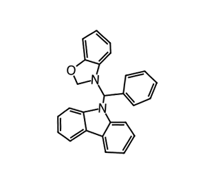 c1ccc(C(N2COc3ccccc32)n2c3ccccc3c3ccccc32)cc1